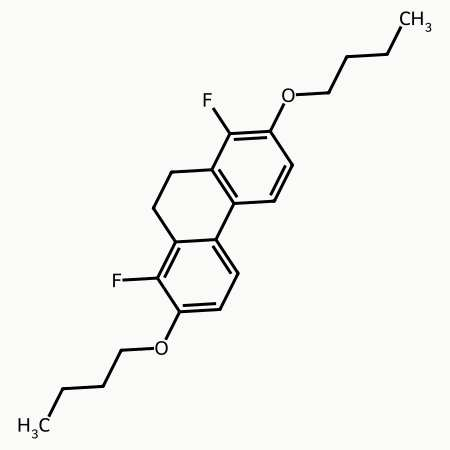 CCCCOc1ccc2c(c1F)CCc1c-2ccc(OCCCC)c1F